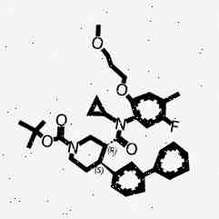 COCCCOc1cc(C)c(F)cc1N(C(=O)[C@H]1CN(C(=O)OC(C)(C)C)CC[C@@H]1c1cccc(-c2ccccc2)c1)C1CC1